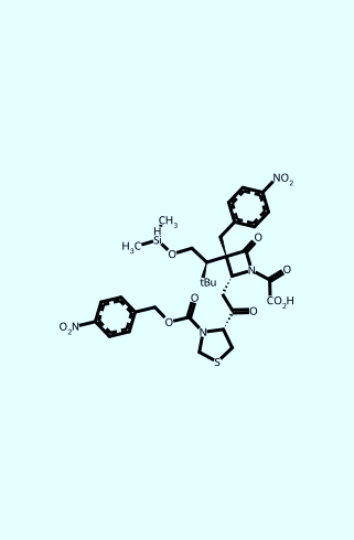 C[SiH](C)OC[C@H](C(C)(C)C)[C@]1(Cc2ccc([N+](=O)[O-])cc2)C(=O)N(C(=O)C(=O)O)[C@@H]1CC(=O)[C@@H]1CSCN1C(=O)OCc1ccc([N+](=O)[O-])cc1